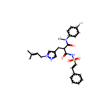 CCN(C(=O)C(Cc1cnn(CC=C(C)C)c1)C(=O)NS(=O)(=O)/C=C/c1ccccc1)c1ccc(F)cc1